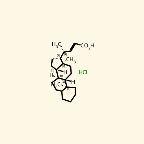 C[C@H](C=CC(=O)O)[C@H]1CC[C@H]2[C@@H]3CCC4CCCC[C@]4(C)[C@H]3CC[C@]12C.Cl